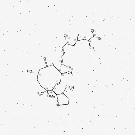 CC[C@@H](O)[C@@H](C)[C@H]1O[C@@H]1C[C@@H](C)/C=C/C=C(\C)[C@H]1OC(=O)C[C@@H](O)CC[C@](C)(OC)[C@H](C2CNCCN2C(=O)O)/C=C/[C@@H]1C